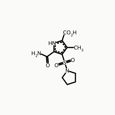 Cc1c(C(=O)O)[nH]c(C(N)=O)c1S(=O)(=O)N1CCCC1